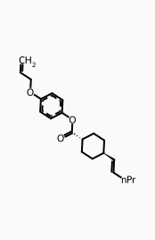 C=CCOc1ccc(OC(=O)[C@H]2CC[C@H](/C=C/CCC)CC2)cc1